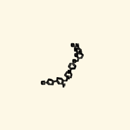 O=[N+]([O-])c1cn2c(n1)OC(COc1ccc(N3CCN(Cc4ccc(-c5ccc(Cl)cc5)cc4F)CC3)cc1)CC2